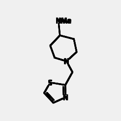 CNC1CCN(Cc2nccs2)CC1